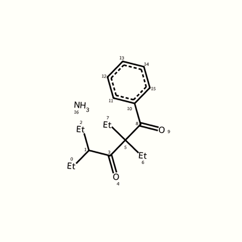 CCC(CC)C(=O)C(CC)(CC)C(=O)c1ccccc1.N